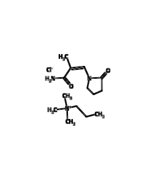 CC(=CN1CCCC1=O)C(N)=O.CCC[N+](C)(C)C.[Cl-]